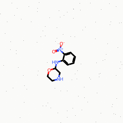 O=[N+]([O-])c1ccccc1NC1CNCCO1